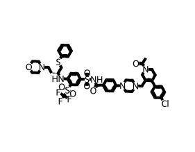 CC(=O)N1CCC(c2ccc(Cl)cc2)=C(CN2CCN(c3ccc(C(=O)NS(=O)(=O)c4ccc(N[C@H](CCN5CCOCC5)CSc5ccccc5)c(S(=O)(=O)C(F)(F)F)c4)cc3)CC2)C1